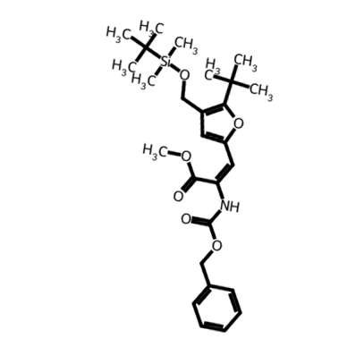 COC(=O)C(=Cc1cc(CO[Si](C)(C)C(C)(C)C)c(C(C)(C)C)o1)NC(=O)OCc1ccccc1